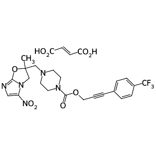 CC1(CN2CCN(C(=O)OCC#Cc3ccc(C(F)(F)F)cc3)CC2)Cn2c([N+](=O)[O-])cnc2O1.O=C(O)C=CC(=O)O